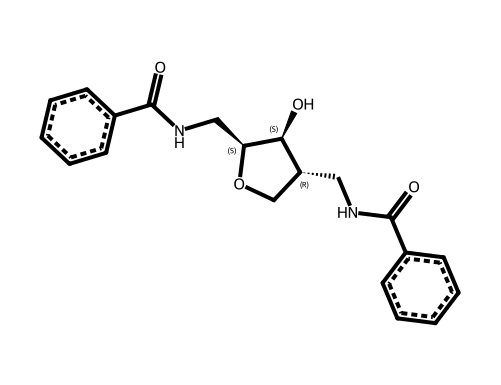 O=C(NC[C@@H]1CO[C@@H](CNC(=O)c2ccccc2)[C@H]1O)c1ccccc1